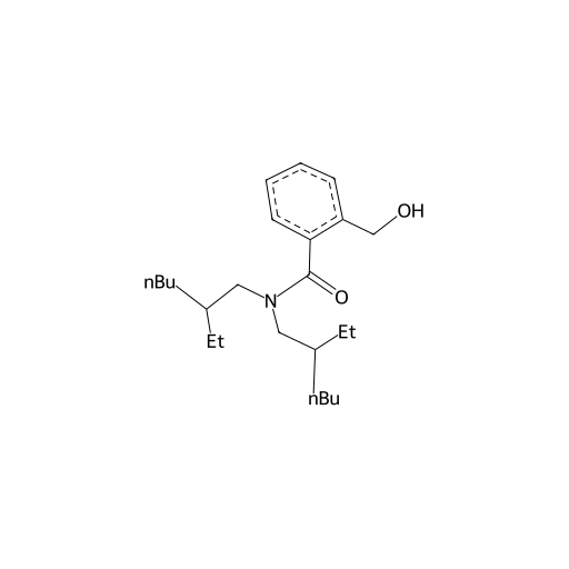 CCCCC(CC)CN(CC(CC)CCCC)C(=O)c1ccccc1CO